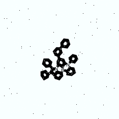 c1ccc(-c2cccc(-c3cc4c5c(c3)-n3c(-c6ccccc6)c(-c6ccccc6)c6cccc(c63)B5c3ccccc3N4c3ccccc3)c2)cc1